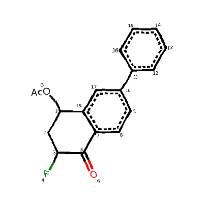 CC(=O)OC1CC(F)C(=O)c2ccc(-c3ccccc3)cc21